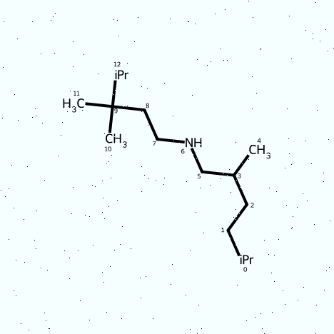 CC(C)CCC(C)CNCCC(C)(C)C(C)C